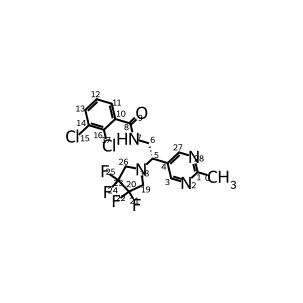 Cc1ncc([C@@H](CNC(=O)c2cccc(Cl)c2Cl)N2CC(F)(F)C(F)(F)C2)cn1